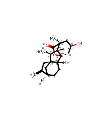 C=C1C[C@]23C[C@H]1CC[C@H]2[C@@]12C[C@H](O)C[C@@](C)(C(=O)O1)[C@H]2[C@@H]3C(=O)O